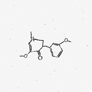 COC1=CN(C)CC(c2cccc(OC)c2)C1=O